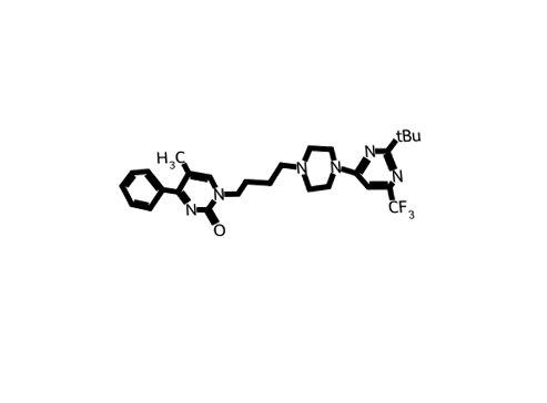 Cc1cn(CCCCN2CCN(c3cc(C(F)(F)F)nc(C(C)(C)C)n3)CC2)c(=O)nc1-c1ccccc1